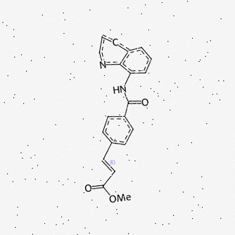 COC(=O)/C=C/c1ccc(C(=O)Nc2cccc3cccnc23)cc1